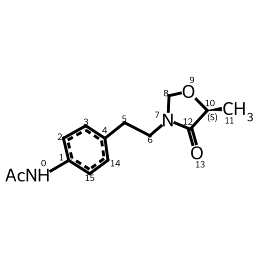 CC(=O)Nc1ccc(CCN2CO[C@@H](C)C2=O)cc1